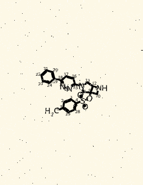 Cc1ccc(S(=O)(=O)OC23CNC2CN(c2ccc(-c4ccccc4)nn2)C3)cc1